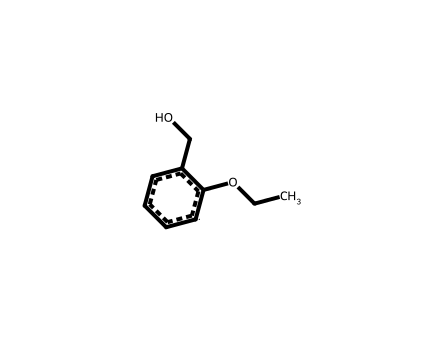 CCOc1[c]cccc1CO